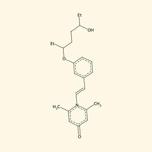 CCC(O)CCC(CC)Oc1cccc(/C=C/n2c(C)cc(=O)cc2C)c1